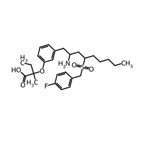 CCCCCC(CC(N)Cc1cccc(OC(C)(CC)C(=O)O)c1)S(=O)(=O)Cc1ccc(F)cc1